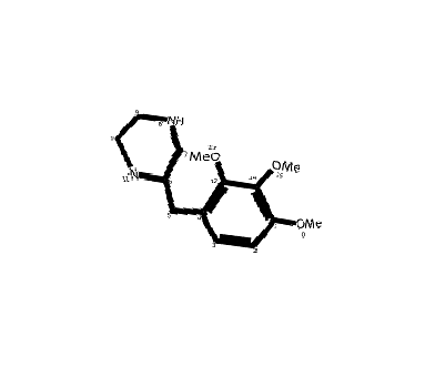 COc1ccc(CC2CNCC[N]2)c(OC)c1OC